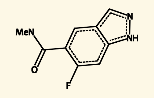 CNC(=O)c1cc2cn[nH]c2cc1F